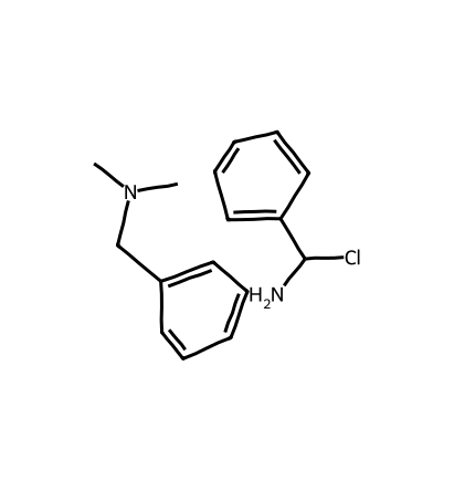 CN(C)Cc1ccccc1.NC(Cl)c1ccccc1